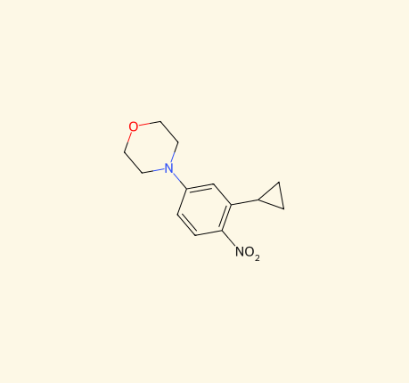 O=[N+]([O-])c1ccc(N2CCOCC2)cc1C1CC1